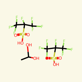 CC(O)O.O=S(=O)(O)C(F)(C(F)(F)F)C(F)(F)F.O=S(=O)(O)C(F)(C(F)(F)F)C(F)(F)F